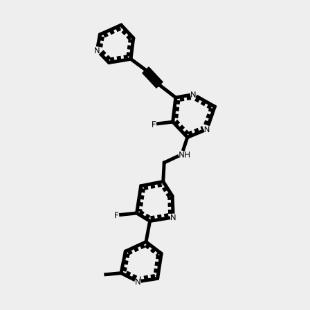 Cc1cc(-c2ncc(CNc3ncnc(C#Cc4cccnc4)c3F)cc2F)ccn1